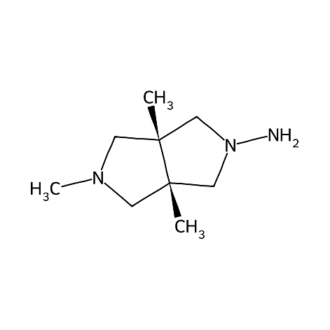 CN1C[C@@]2(C)CN(N)C[C@@]2(C)C1